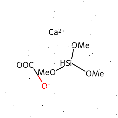 CO[SiH](OC)OC.O=C([O-])[O-].[Ca+2]